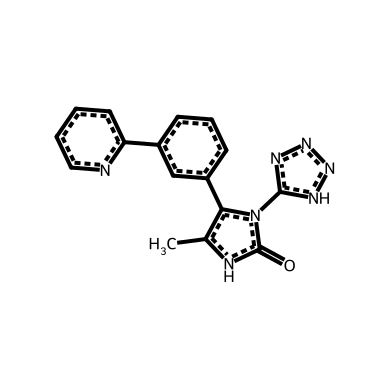 Cc1[nH]c(=O)n(-c2nnn[nH]2)c1-c1cccc(-c2ccccn2)c1